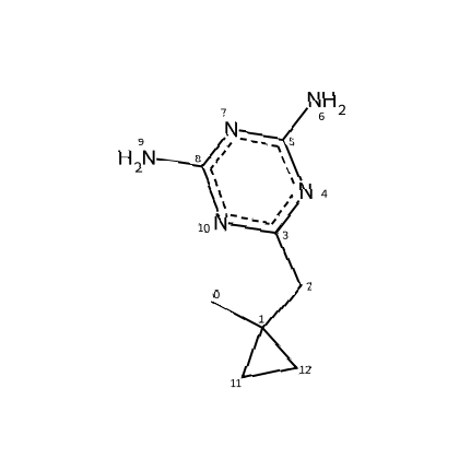 CC1(Cc2nc(N)nc(N)n2)CC1